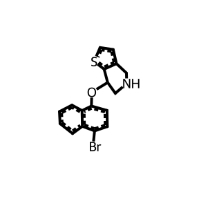 Brc1ccc(OC2CNCc3ccsc32)c2ccccc12